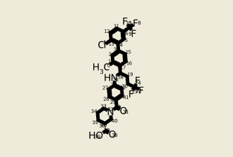 Cc1cc(-c2cc(C(F)(F)F)ccc2Cl)ccc1C(CCC(F)(F)F)Nc1ccc(C(=O)N2CCC[C@@H](C(=O)O)C2)cc1